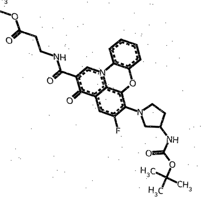 CCOC(=O)CCNC(=O)c1cn2c3c(c(N4CCC(NC(=O)OC(C)(C)C)C4)c(F)cc3c1=O)Oc1ccccc1-2